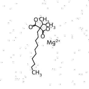 CCCCCCCCCCC(C(=O)[O-])(C(=O)[O-])C(C)C.[Mg+2]